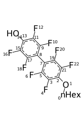 CCCCCCOc1c(F)c(F)c(-c2c(F)c(F)c(O)c(F)c2F)c(F)c1F